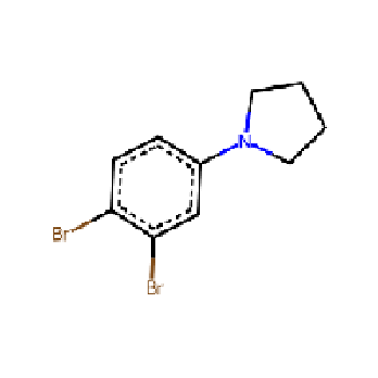 Brc1ccc(N2CCCC2)cc1Br